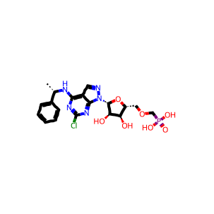 C[C@H](Nc1nc(Cl)nc2c1cnn2[C@@H]1O[C@H](COCP(=O)(O)O)[C@@H](O)[C@H]1O)c1ccccc1